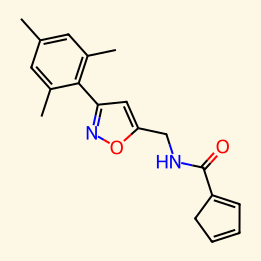 Cc1cc(C)c(-c2cc(CNC(=O)C3=CC=CC3)on2)c(C)c1